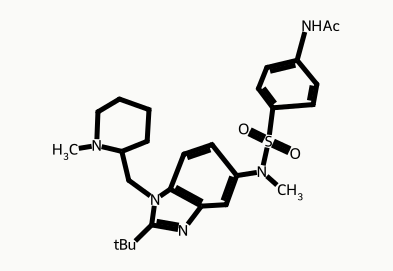 CC(=O)Nc1ccc(S(=O)(=O)N(C)c2ccc3c(c2)nc(C(C)(C)C)n3CC2CCCCN2C)cc1